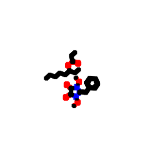 CCCCCC(CC)OC(=O)CC.CON1C(=O)C(=O)N(OC)C1=Cc1ccccc1